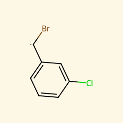 Clc1cccc([CH]Br)c1